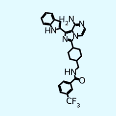 Nc1nccn2c(C3CCC(CNC(=O)c4cccc(C(F)(F)F)c4)CC3)nc(-c3cc4ccccc4[nH]3)c12